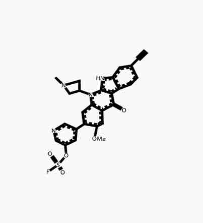 C#Cc1ccc2c(c1)[nH]c1c2c(=O)c2cc(OC)c(-c3cncc(OS(=O)(=O)F)c3)cc2n1C1CN(C)C1